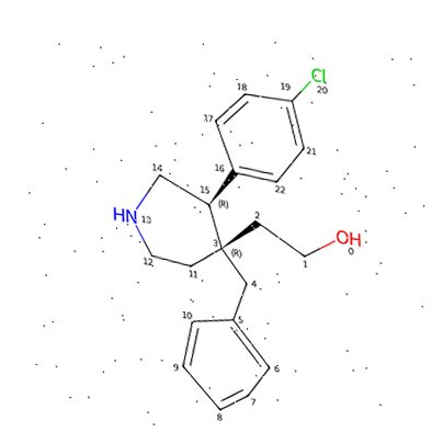 OCC[C@@]1(Cc2ccccc2)CCNC[C@H]1c1ccc(Cl)cc1